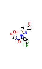 COc1cccc(-c2nc(-n3nc(C(=O)N4CCC(C(=O)O)C4)c4cc(C(F)(F)F)ccc43)sc2C(C)C)c1